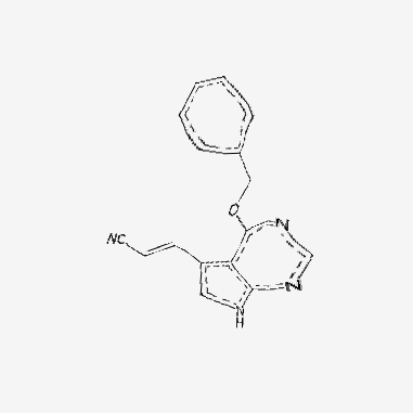 N#CC=Cc1c[nH]c2ncnc(OCc3ccccc3)c12